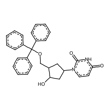 O=c1ccn(C2CC(O)C(COC(c3ccccc3)(c3ccccc3)c3ccccc3)C2)c(=O)[nH]1